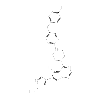 Cn1cc(-c2cn3ncnc(N4CCN(c5ncc(Cc6ccc(F)cc6)cn5)CC4)c3c2F)cn1